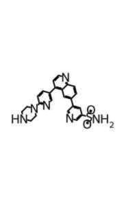 NS(=O)(=O)c1cncc(-c2ccc3nccc(-c4ccc(N5CCNCC5)nc4)c3c2)c1